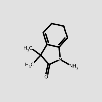 CC1(C)C(=O)N(N)C2=CCCC=C21